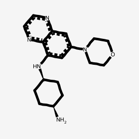 N[C@H]1CC[C@@H](Nc2cc(N3CCOCC3)cc3nccnc23)CC1